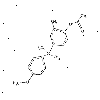 COc1ccc(C(C)(C)c2ccc(OC(C)=O)c(C)c2)cc1